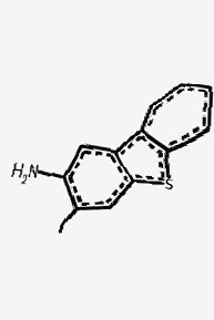 Cc1cc2sc3ccccc3c2cc1N